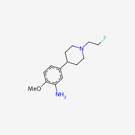 COc1ccc(C2CCN(CCF)CC2)cc1N